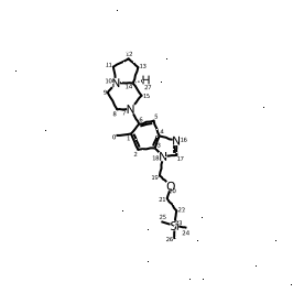 Cc1cc2c(cc1N1CCN3CCC[C@H]3C1)ncn2COCC[Si](C)(C)C